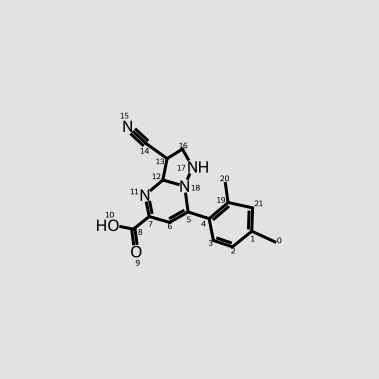 Cc1ccc(C2=CC(C(=O)O)=NC3C(C#N)CNN23)c(C)c1